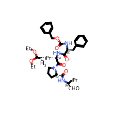 CC(C)[C@H](NC(=O)[C@H](Cc1ccccc1)NC(=O)OCc1ccccc1)C(=O)N1CCC[C@H]1C(=O)N[C@H](C=O)C(C)C.CCOC(C)OCC